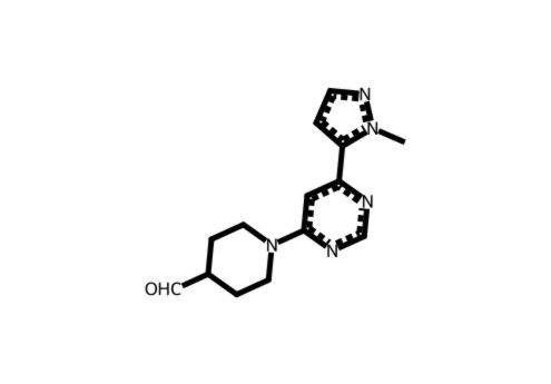 Cn1nccc1-c1cc(N2CCC(C=O)CC2)ncn1